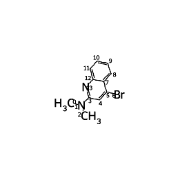 CN(C)c1cc(Br)c2ccccc2n1